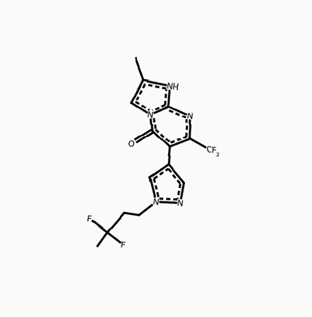 Cc1cn2c(=O)c(-c3cnn(CCC(C)(F)F)c3)c(C(F)(F)F)nc2[nH]1